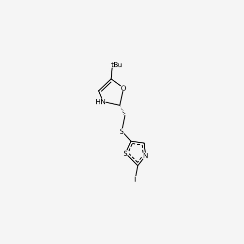 CC(C)(C)C1=CN[C@@H](CSc2cnc(I)s2)O1